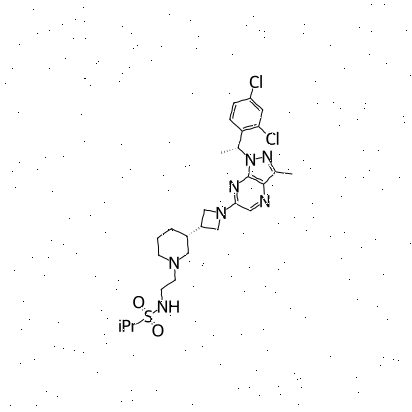 Cc1nn([C@H](C)c2ccc(Cl)cc2Cl)c2nc(N3CC([C@H]4CCCN(CCNS(=O)(=O)C(C)C)C4)C3)cnc12